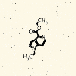 CCOC(=O)c1nccc2c1ccn2CC